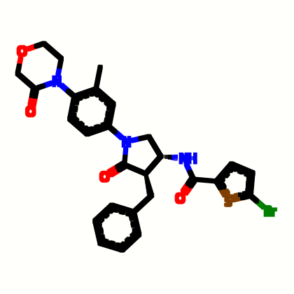 Cc1cc(N2C[C@H](NC(=O)c3ccc(Br)s3)[C@@H](Cc3ccccc3)C2=O)ccc1N1CCOCC1=O